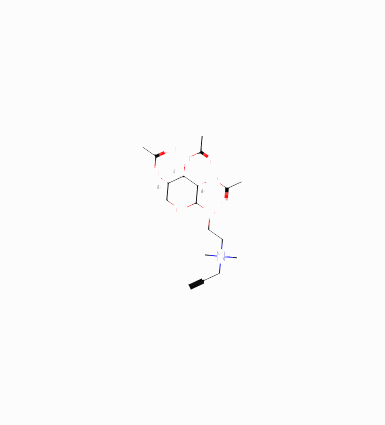 C#CC[N+](C)(C)CCOC1OC[C@@H](OC(C)=O)[C@@H](OC(C)=O)[C@H]1OC(C)=O